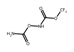 NC(=O)ONC(=O)OC(F)(F)F